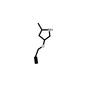 C#CCOC1CNC(C)C1